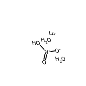 O.O.O=[N+]([O-])O.[Lu]